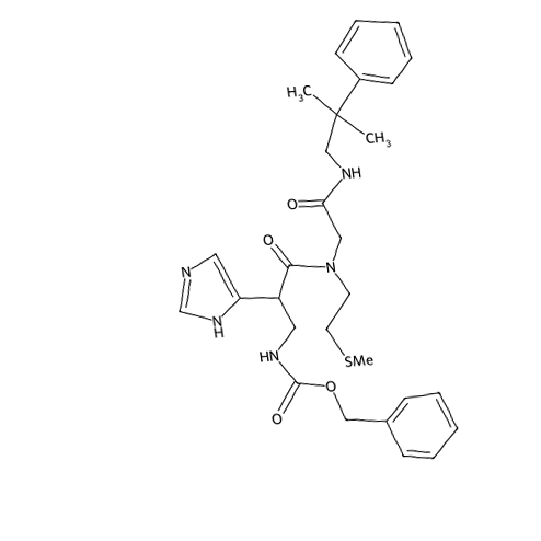 CSCCN(CC(=O)NCC(C)(C)c1ccccc1)C(=O)C(CNC(=O)OCc1ccccc1)c1cnc[nH]1